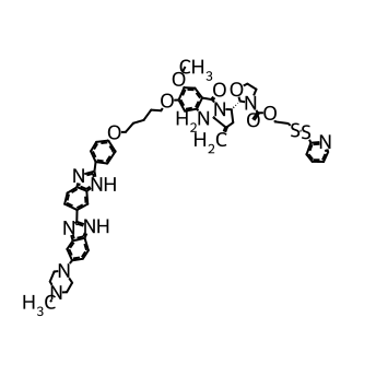 C=C1CC([C@@H]2OCCN2C(=O)OCCSSc2ccccn2)N(C(=O)c2cc(OC)c(OCCCCCOc3ccc(-c4nc5ccc(-c6nc7cc(N8CCN(C)CC8)ccc7[nH]6)cc5[nH]4)cc3)cc2N)C1